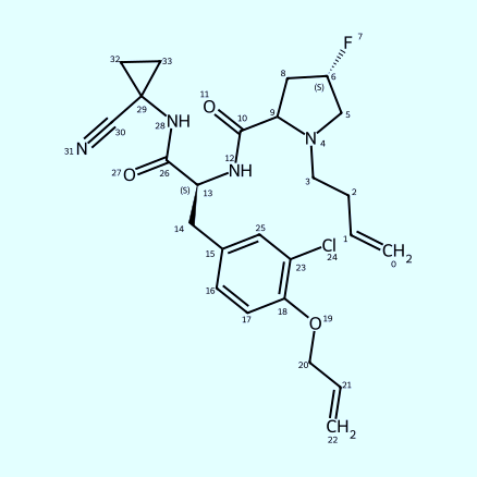 C=CCCN1C[C@@H](F)CC1C(=O)N[C@@H](Cc1ccc(OCC=C)c(Cl)c1)C(=O)NC1(C#N)CC1